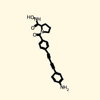 Nc1ccc(C#CC#Cc2ccc(C(=O)N3CCCC3C(=O)NO)cc2)cc1